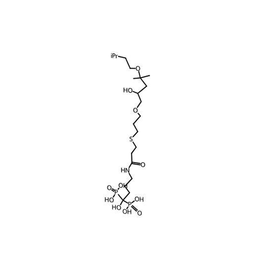 CC(C)CCOC(C)(C)CC(O)COCCCSCCC(=O)NCCCC(O)(P(=O)(O)O)P(=O)(O)O